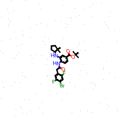 CC(C)(C)OC(=O)c1ccc(NC(=O)Cc2cc(F)c(Br)cc2F)c(N[C@@H]2CCCC2(C)C)c1